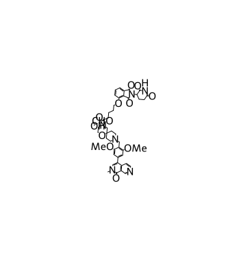 COc1cc(-c2cn(C)c(=O)c3cnccc23)cc(OC)c1CN1CCC2(CC1)CN(C(=O)CCCCOc1cccc3c1C(=O)N(C1CCC(=O)NC1=O)C3=O)CCO2.O=CO